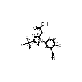 N#Cc1cc(-n2nc(C(F)(F)F)cc2CC(=O)O)ccc1F